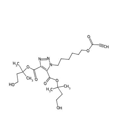 C#CC(=O)OCCCCCCn1nnc(C(=O)OC(C)(C)CCO)c1C(=O)OC(C)(C)CCO